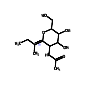 CC/C(C)=C1\OC(CO)C(O)C(O)C1NC(C)=O